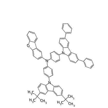 CC(C)(C)c1ccc2c(c1)c1cc(C(C)(C)C)ccc1n2-c1ccc(N(c2ccc(-n3c4ccc(-c5ccccc5)cc4c4cc(-c5ccccc5)ccc43)cc2)c2ccc3oc4ccccc4c3c2)cc1